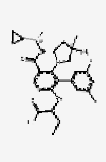 CCC(Oc1ncc(C(=O)N[C@@H](C)C2CC2)c(N2CC[C@](C)(N)C2)c1-c1cc(F)cc(F)c1)C(=O)O